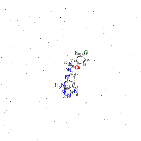 Cn1cc(-c2ccc(N3CCN(Cc4cccc(Cl)c4F)C3=O)nc2)c2c(N)ncnc21